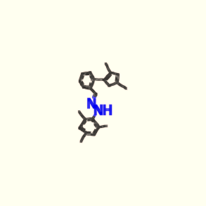 CC1=CC(C)=C(c2ccccc2C=NNc2c(C)cc(C)cc2C)C1